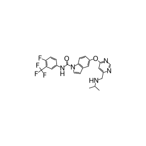 CC(C)NCc1cc(Oc2ccc3c(ccn3C(=O)Nc3ccc(F)c(C(F)(F)F)c3)c2)ncn1